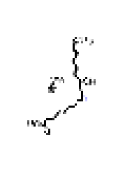 CCCCCC[C@@H](O)C/C=C\CCCCCCCC(=O)O.N=C=O